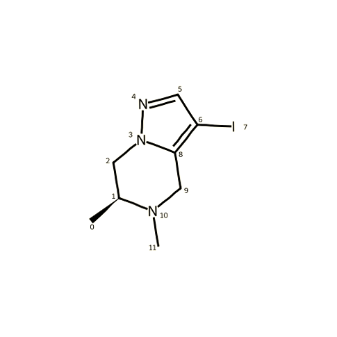 C[C@H]1Cn2ncc(I)c2CN1C